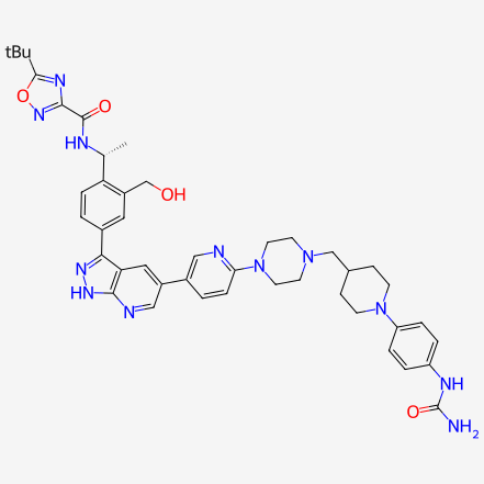 C[C@@H](NC(=O)c1noc(C(C)(C)C)n1)c1ccc(-c2n[nH]c3ncc(-c4ccc(N5CCN(CC6CCN(c7ccc(NC(N)=O)cc7)CC6)CC5)nc4)cc23)cc1CO